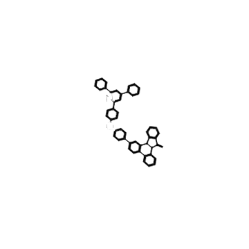 C=C1c2ccccc2C2c3cc(-c4ccc(Oc5ccc(-c6cc(-c7ccccc7)cc(-c7ccccc7)n6)cc5)cc4)ccc3-c3ccccc3C12